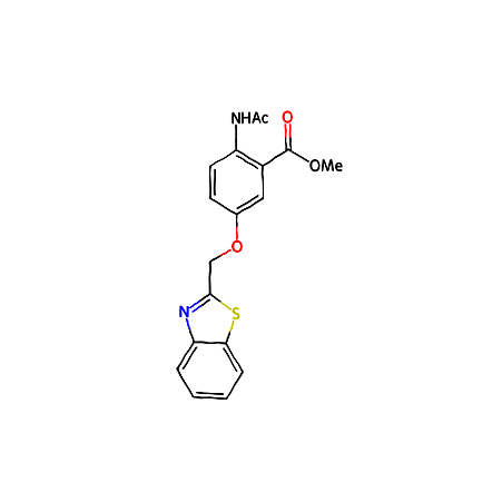 COC(=O)c1cc(OCc2nc3ccccc3s2)ccc1NC(C)=O